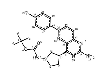 CC(C)(C)OC(=O)NN1CC[C@H](c2nc(N)nc3ccc(-c4ccc(F)cc4)nc23)C1